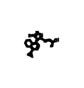 O=C(O)CSc1nnc(Br)n1-c1ccc(C2CC2)c2c1CCCC2